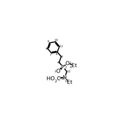 CCOP(=O)(CCc1ccccc1)CN(CC)C(=O)O